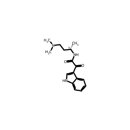 C[C@@H](CCN(C)C)NC(=O)C(=O)c1c[nH]c2ccccc12